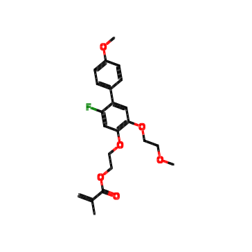 C=C(C)C(=O)OCCOc1cc(F)c(-c2ccc(OC)cc2)cc1OCCOC